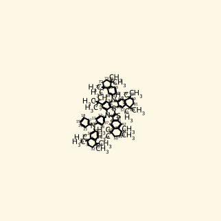 CC(C)(C)c1cc2c3c(c1)N(c1ccc(N(c4ccccc4)c4ccc5c(c4)C(C)(C)CCC5(C)C)cc1)c1c(sc4cc5c(cc14)C(C)(C)CCC5(C)C)B3c1cc3c(cc1N2c1ccc2c(c1)C(C)(C)CCC2(C)C)C(C)(C)CCC3(C)C